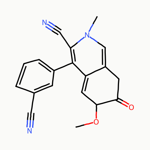 COC1C=C2C(=CN(C)C(C#N)=C2c2cccc(C#N)c2)CC1=O